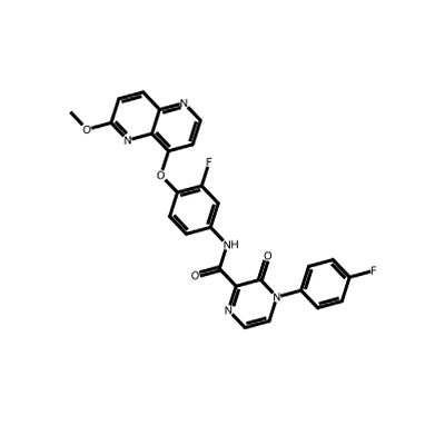 COc1ccc2nccc(Oc3ccc(NC(=O)c4nccn(-c5ccc(F)cc5)c4=O)cc3F)c2n1